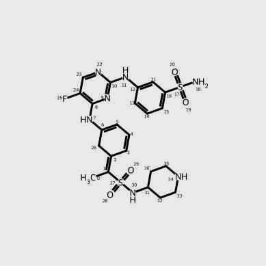 CC(=C1C=CC=C(Nc2nc(Nc3cccc(S(N)(=O)=O)c3)ncc2F)C1)S(=O)(=O)NC1CCNCC1